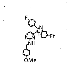 CCc1ccn2c(-c3ccnc(NCc4ccc(OC)cc4)n3)c(-c3ccc(F)cc3)nc2c1